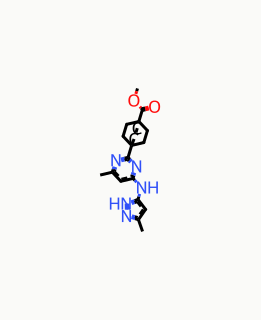 COC(=O)C12CCC(c3nc(C)cc(Nc4cc(C)n[nH]4)n3)(CC1)CC2